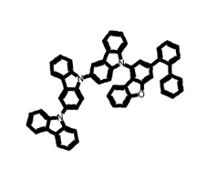 c1ccc(-c2ccccc2-c2cc(-n3c4ccccc4c4cc(-n5c6ccccc6c6cc(-n7c8ccccc8c8ccccc87)ccc65)ccc43)c3c(c2)oc2ccccc23)cc1